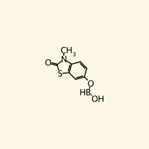 Cn1c(=O)sc2cc(OBO)ccc21